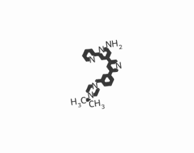 CC(C)N1CCN(Cc2cccc(-c3cncc(-c4cc(N)nc(-c5ccccn5)c4)c3)c2)CC1